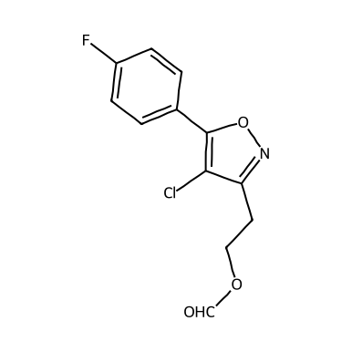 O=COCCc1noc(-c2ccc(F)cc2)c1Cl